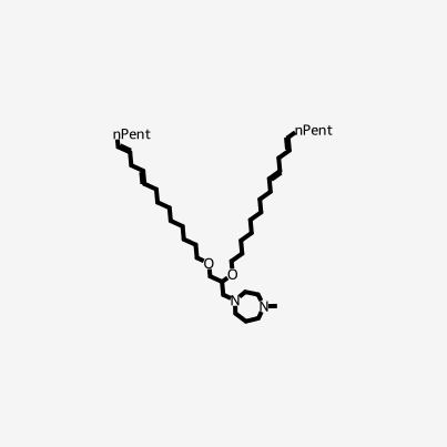 CCCCCC=CCC=CCCCCCCCCOCC(CN1CCCN(C)CC1)OCCCCCCCCC=CCC=CCCCCC